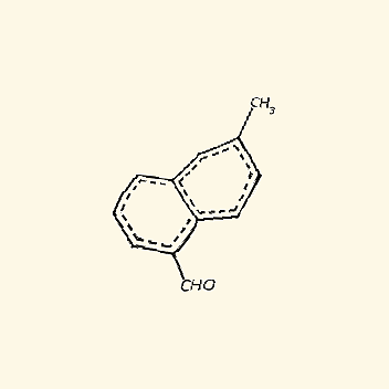 Cc1ccc2c(C=O)cccc2c1